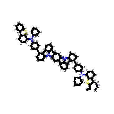 C=Cc1sc2c(N(c3ccccc3)c3ccc(-c4cccc5c4c4cccc6c7cc8c(cc7n5c64)c4cccc5c6c(-c7ccc(N(c9ccccc9)c9cccc%10c9sc9ccccc9%10)cc7)cccc6n8c45)cc3)cccc2c1/C=C\C